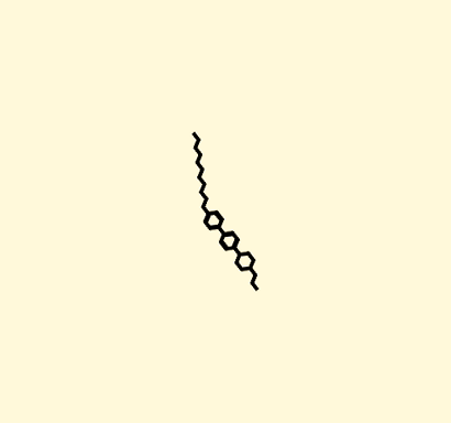 CCCCCCCCCCCc1ccc(-c2ccc(C3CCC(CCC)CC3)cc2)cc1